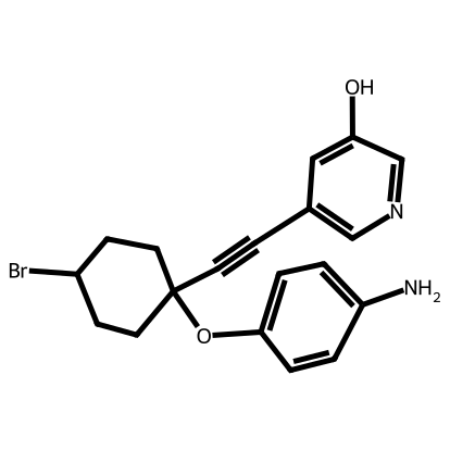 Nc1ccc(OC2(C#Cc3cncc(O)c3)CCC(Br)CC2)cc1